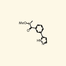 CON(C)C(=O)c1cccc(-c2ccn[nH]2)c1